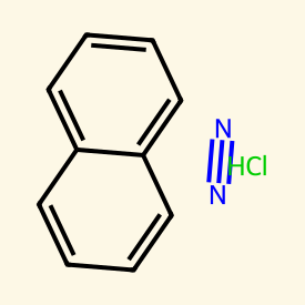 Cl.N#N.c1ccc2ccccc2c1